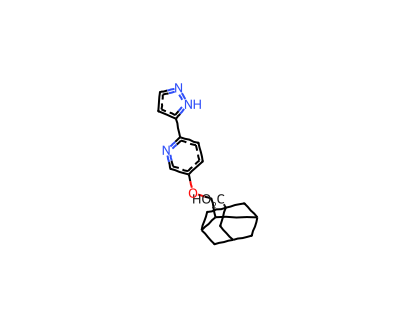 O=C(O)C12CC3CC(C1)C(COc1ccc(-c4ccn[nH]4)nc1)C(C3)C2